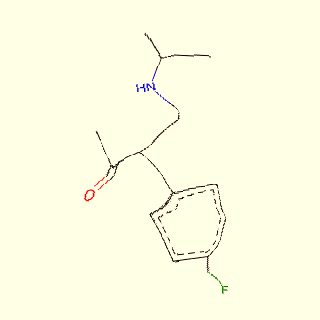 CC(=O)C(CNC(C)C)c1ccc(F)cc1